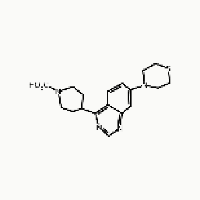 O=C(O)N1CCC(c2ncnc3cc(N4CCSCC4)ccc23)CC1